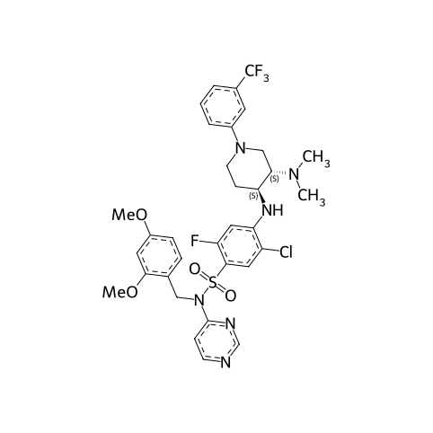 COc1ccc(CN(c2ccncn2)S(=O)(=O)c2cc(Cl)c(N[C@H]3CCN(c4cccc(C(F)(F)F)c4)C[C@@H]3N(C)C)cc2F)c(OC)c1